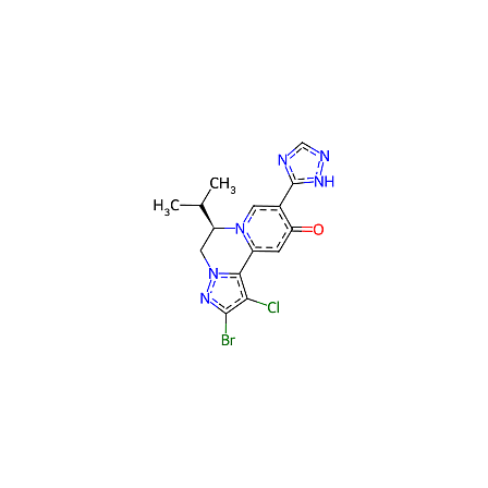 CC(C)[C@@H]1Cn2nc(Br)c(Cl)c2-c2cc(=O)c(-c3ncn[nH]3)cn21